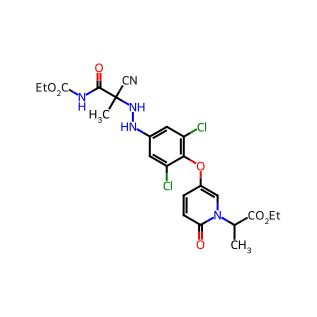 CCOC(=O)NC(=O)C(C)(C#N)NNc1cc(Cl)c(Oc2ccc(=O)n(C(C)C(=O)OCC)c2)c(Cl)c1